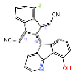 N#C/C=C1C(=C2/c3cccnc3-c3c(O)cccc32)/C(=C/C#N)c2cccc(F)c2/1